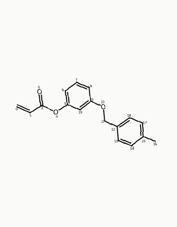 C=CC(=O)Oc1cccc(OCc2ccc(C)cc2)c1